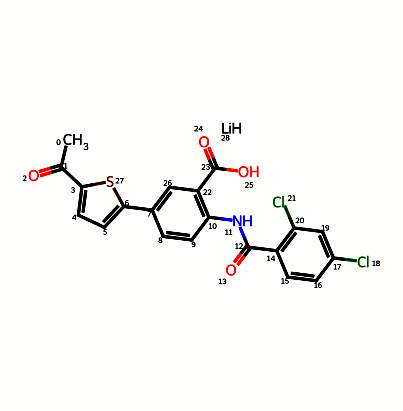 CC(=O)c1ccc(-c2ccc(NC(=O)c3ccc(Cl)cc3Cl)c(C(=O)O)c2)s1.[LiH]